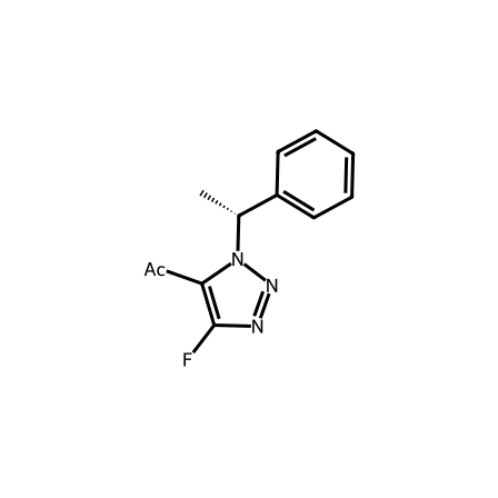 CC(=O)c1c(F)nnn1[C@H](C)c1ccccc1